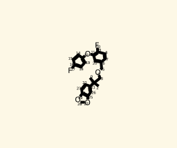 CC(C)(COCc1ccc(F)c(Oc2ccc(F)cc2)c1)c1ccc2c(c1)OCO2